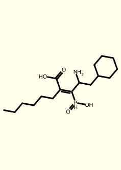 CCCCCCC(C(=O)O)=C(C(N)CC1CCCCC1)[PH](=O)O